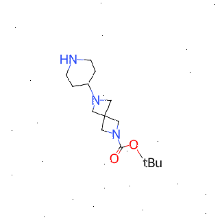 CC(C)(C)OC(=O)N1CC2(C1)CN(C1CCNCC1)C2